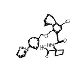 O=C(NC1(C(=O)O)CCC1)c1cc(Cl)c2ccccc2c1OCc1ccc(-n2cccn2)cc1